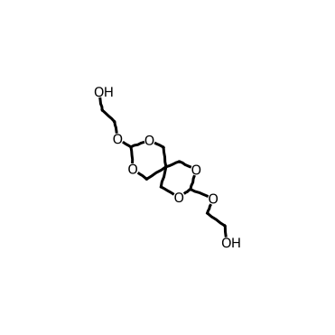 OCCOC1OCC2(CO1)COC(OCCO)OC2